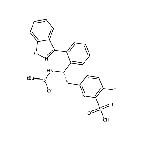 CC(C)(C)[S@+]([O-])N[C@@H](Cc1ccc(F)c(S(C)(=O)=O)n1)c1ccccc1-c1noc2ccccc12